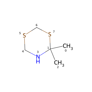 CC1(C)NCSCS1